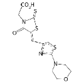 O=C(O)CN1C(=O)/C(=C/c2csc(N3CCOCC3)n2)SC1=S